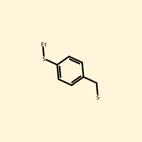 CCSc1ccc(C[S])cc1